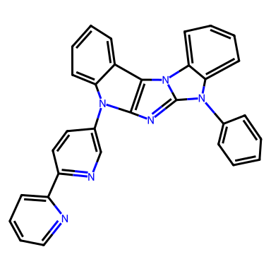 c1ccc(-n2c3ccccc3n3c4c5ccccc5n(-c5ccc(-c6ccccn6)nc5)c4nc23)cc1